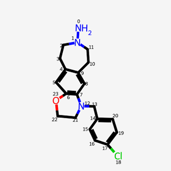 NN1CCc2cc3c(cc2CC1)N(Cc1ccc(Cl)cc1)CCO3